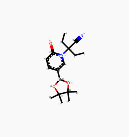 CCC(C#N)(CC)n1cc(B2OC(C)(C)C(C)(C)O2)ccc1=O